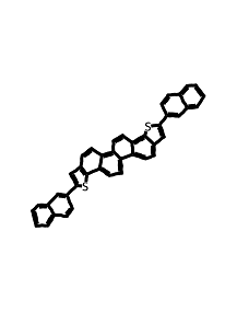 c1ccc2cc(-c3cc4ccc5c6ccc7c(ccc8cc(-c9ccc%10ccccc%10c9)sc87)c6ccc5c4s3)ccc2c1